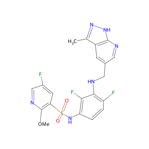 COc1ncc(F)cc1S(=O)(=O)Nc1ccc(F)c(NCc2cnc3[nH]nc(C)c3c2)c1F